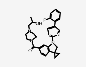 CC(O)CN1CCN(C(=O)c2ccc3c(c2)N(c2ncc(-c4ccccc4F)cn2)CC32CC2)CC1